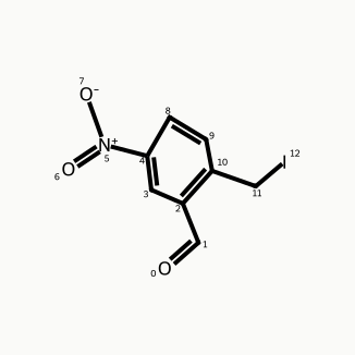 O=Cc1cc([N+](=O)[O-])ccc1CI